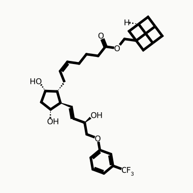 O=C(CCC/C=C\C[C@@H]1[C@@H](/C=C/[C@@H](O)COc2cccc(C(F)(F)F)c2)[C@H](O)C[C@@H]1O)OCC12CC3CC4C[C@H](C1)C432